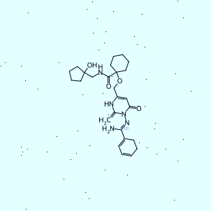 C=C1NC(COC2(C(=O)NCC3(O)CCCC3)CCCCC2)=CC(=O)N1/N=C(\N)C1=CC=CCC1